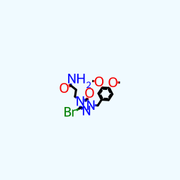 COc1ccc(Cn2nc(Br)n(CCC(N)=O)c2=O)cc1OC